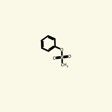 CS(=O)(=O)Oc1cc[c]cc1